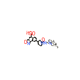 CN(C)CCNC(=O)c1cccc(-c2ccc3c(C(=O)O)cc4c(c3c2)=C[N]C(=O)C=4)c1